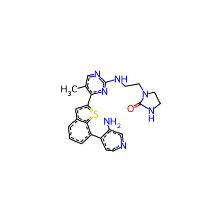 Cc1cnc(NCCN2CCNC2=O)nc1-c1cc2cccc(-c3ccncc3N)c2s1